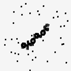 CC(C)OC(=O)N1CCC(Oc2ccnc(N3CCC(NC(=S)Nc4cccnc4)CC3)c2)CC1